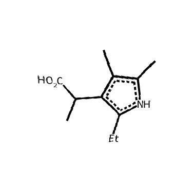 CCc1[nH]c(C)c(C)c1C(C)C(=O)O